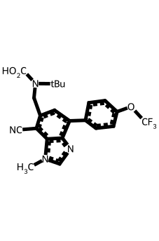 Cn1cnc2c(-c3ccc(OC(F)(F)F)cc3)cc(CN(C(=O)O)C(C)(C)C)c(C#N)c21